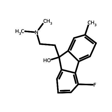 Cc1ccc2c(c1)C(O)(CCN(C)C)c1cccc(F)c1-2